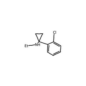 CCNC1(c2ccccc2Cl)CC1